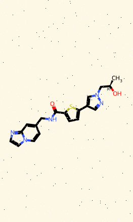 C[C@@H](O)Cn1cc(-c2ccc(C(=O)NCc3ccn4ccnc4c3)s2)cn1